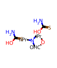 CC(C)OC=O.CCCN(C)C.NC(O)=S.NC(O)=S